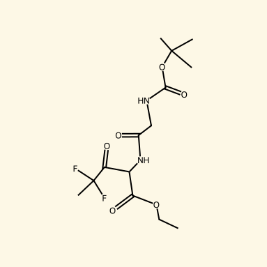 CCOC(=O)C(NC(=O)CNC(=O)OC(C)(C)C)C(=O)C(C)(F)F